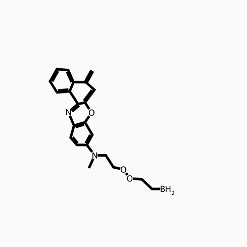 BCCOOCCN(C)c1ccc2c(c1)Oc1cc(=C)c3ccccc3c1=N2